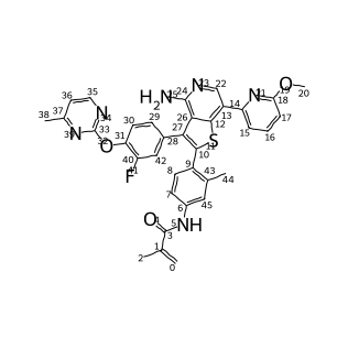 C=C(C)C(=O)Nc1ccc(-c2sc3c(-c4cccc(OC)n4)cnc(N)c3c2-c2ccc(Oc3nccc(C)n3)c(F)c2)c(C)c1